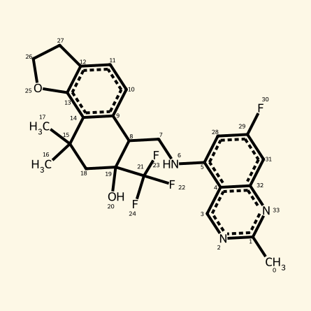 Cc1ncc2c(NCC3c4ccc5c(c4C(C)(C)CC3(O)C(F)(F)F)OCC5)cc(F)cc2n1